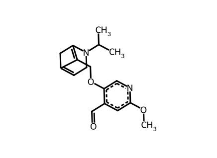 COc1cc(C=O)c(OCC2=C3CC2=CCN3C(C)C)cn1